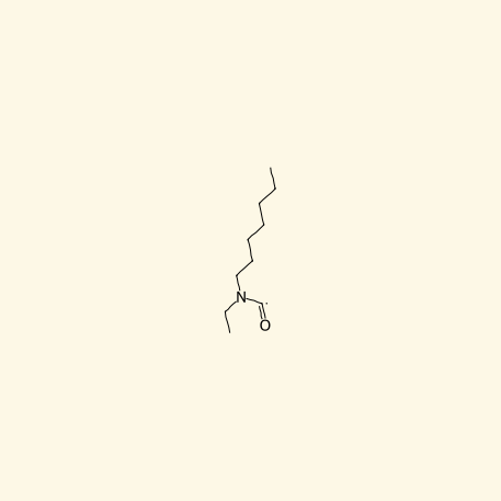 CCCCCCCN([C]=O)CC